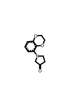 O=C1CCN(c2cccc3c2OCCO3)C1